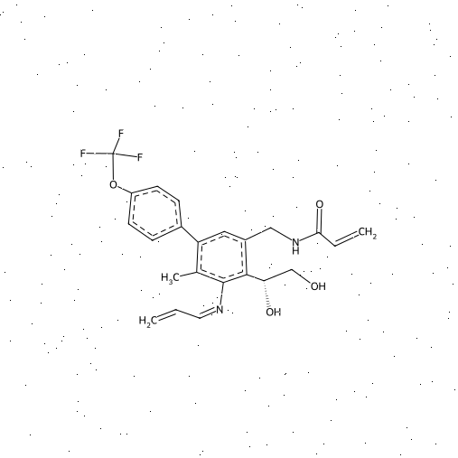 C=C/C=N\c1c(C)c(-c2ccc(OC(F)(F)F)cc2)cc(CNC(=O)C=C)c1[C@@H](O)CO